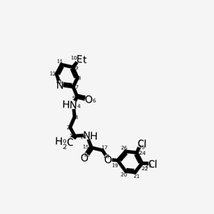 C=C(CCNC(=O)c1cc(CC)ccn1)NC(=O)COc1ccc(Cl)c(Cl)c1